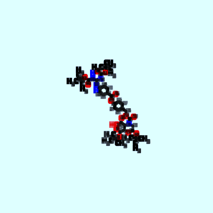 CC(C)(C)OC(=O)CC(C(=O)O)N(CC(=O)OC(C)(C)C)C(=O)OCc1ccc(OC(=O)c2ccc(NC(=NC(=O)OC(C)(C)C)NC(=O)OC(C)(C)C)cc2)cc1